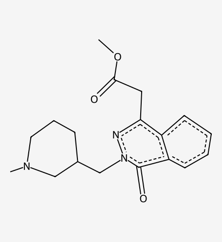 COC(=O)Cc1nn(CC2CCCN(C)C2)c(=O)c2ccccc12